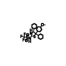 COc1ccc(C2(c3ccccc3)SC(NS(=O)(=O)C(F)(F)F)NC2c2ccccc2)cc1